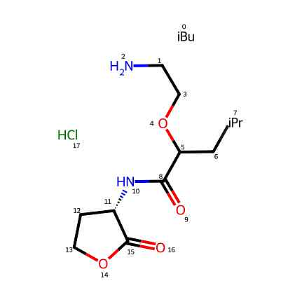 CC[C@H](C)C(N)COC(CC(C)C)C(=O)N[C@H]1CCOC1=O.Cl